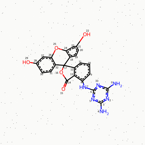 Nc1nc(N)nc(Nc2cccc3c2C(=O)OC32c3ccc(O)cc3Oc3cc(O)ccc32)n1